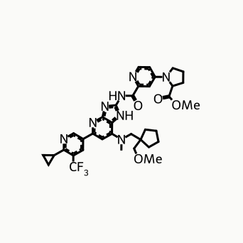 COCC1(CN(C)c2cc(-c3cnc(C4CC4)c(C(F)(F)F)c3)nc3nc(NC(=O)c4cc(N5CCCC5C(=O)OC)ccn4)[nH]c23)CCCC1